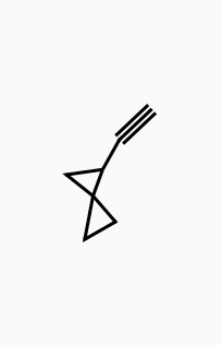 C#CC1CC12CC2